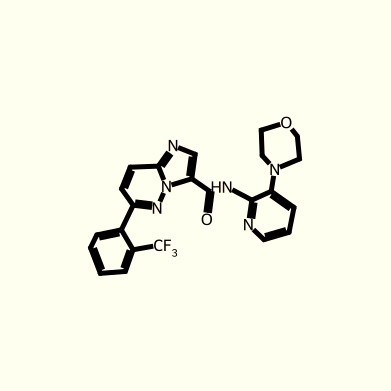 O=C(Nc1ncccc1N1CCOCC1)c1cnc2ccc(-c3ccccc3C(F)(F)F)nn12